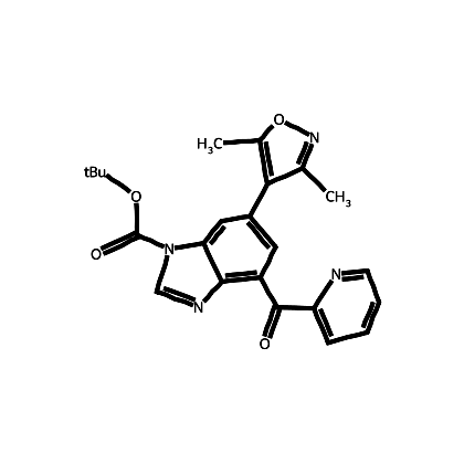 Cc1noc(C)c1-c1cc(C(=O)c2ccccn2)c2ncn(C(=O)OC(C)(C)C)c2c1